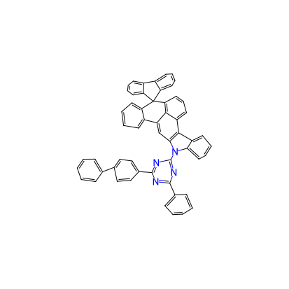 c1ccc(-c2ccc(-c3nc(-c4ccccc4)nc(-n4c5ccccc5c5c6cccc7c6c(cc54)-c4ccccc4C74c5ccccc5-c5ccccc54)n3)cc2)cc1